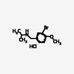 COc1ccc(CNC(C)C)cc1Br.Cl